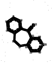 O=C1c2ccccc2CCc2ccncc21